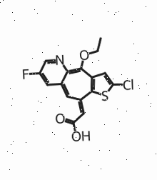 CCOC1=c2ncc(F)cc2=CC(=CC(=O)O)c2sc(Cl)cc21